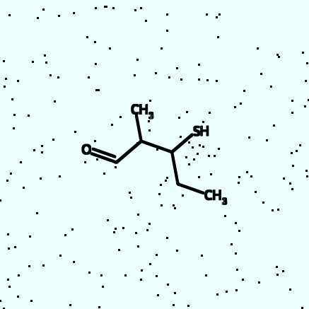 CCC(S)C(C)C=O